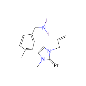 C=CCn1ccn(C)[c]1=[Pt].Cc1ccc(CN(I)I)cc1